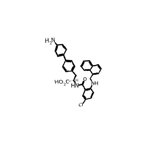 Nc1ccc(-c2ccc(C[C@H](NC(=O)c3cc(Cl)ccc3NCc3cccc4ccccc34)C(=O)O)cc2)cc1